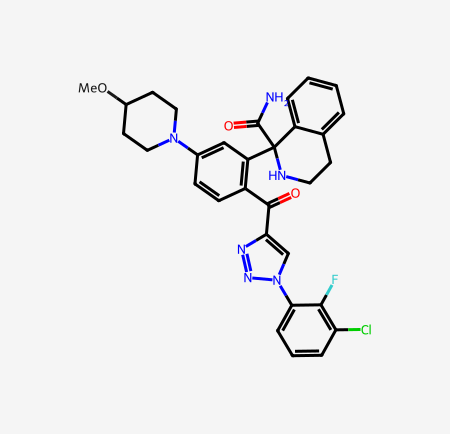 COC1CCN(c2ccc(C(=O)c3cn(-c4cccc(Cl)c4F)nn3)c(C3(C(N)=O)NCCc4ccccc43)c2)CC1